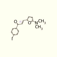 CN(C)c1ccc(/C=C/C(=O)c2ccc(I)cc2)o1